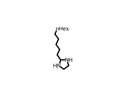 CCCCCCCCCCCC1NCCN1